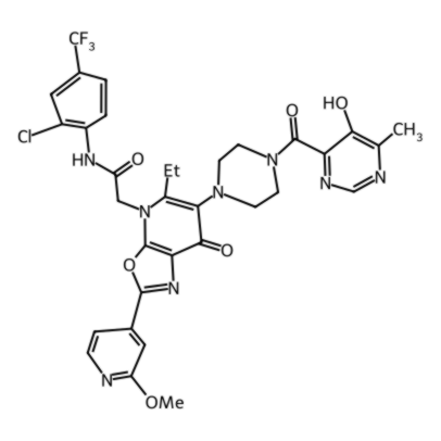 CCc1c(N2CCN(C(=O)c3ncnc(C)c3O)CC2)c(=O)c2nc(-c3ccnc(OC)c3)oc2n1CC(=O)Nc1ccc(C(F)(F)F)cc1Cl